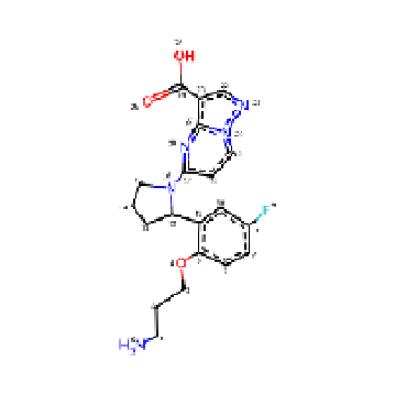 NCCCOc1ccc(F)cc1C1CCCN1c1ccn2ncc(C(=O)O)c2n1